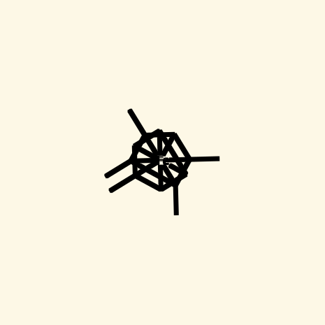 C[C]12[CH]3[CH]4[CH]5[CH]1[Fe]45321678[CH]2[C]1(C)[C]6(C)[C]7(C)[C]28C